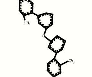 Cc1ccccc1-c1cccc(Oc2cccc(-c3ccccc3C)c2)c1